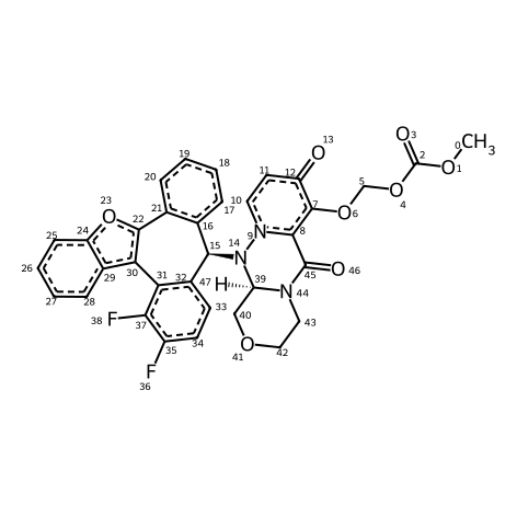 COC(=O)OCOc1c2n(ccc1=O)N([C@@H]1c3ccccc3-c3oc4ccccc4c3-c3c1ccc(F)c3F)[C@@H]1COCCN1C2=O